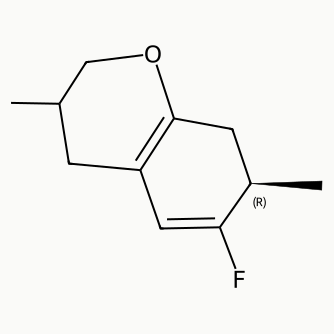 CC1COC2=C(C=C(F)[C@H](C)C2)C1